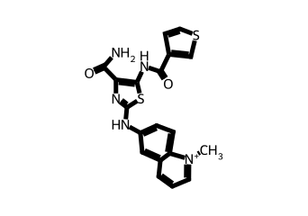 C[n+]1cccc2cc(Nc3nc(C(N)=O)c(NC(=O)c4ccsc4)s3)ccc21